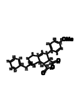 COc1ccc(C2C=C3CCN(Cc4ccccc4)CC3C3C(=O)OC(=O)C23)cc1